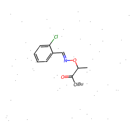 CC(C)COC(=O)C(C)ON=Cc1c[c]ccc1Cl